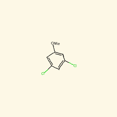 COc1cc(Cl)[c]c(Cl)c1